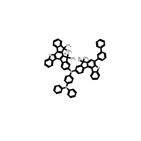 CC1(C)c2cc(N(c3ccc(N(c4ccccc4)c4ccccc4)cc3)c3ccc4c(c3)C(C)(C)c3c5c(c6oc7ccccc7c6c3-4)-c3ccccc3C5(C)C)ccc2-c2c1cc(-c1cccc(-c3ccccc3)c1)c1oc3ccccc3c21